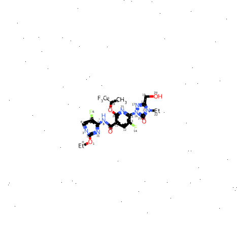 CCOc1ncc(F)c(NC(=O)c2cc(F)c(-n3nc(CO)n(CC)c3=O)nc2O[C@@H](C)C(F)(F)F)n1